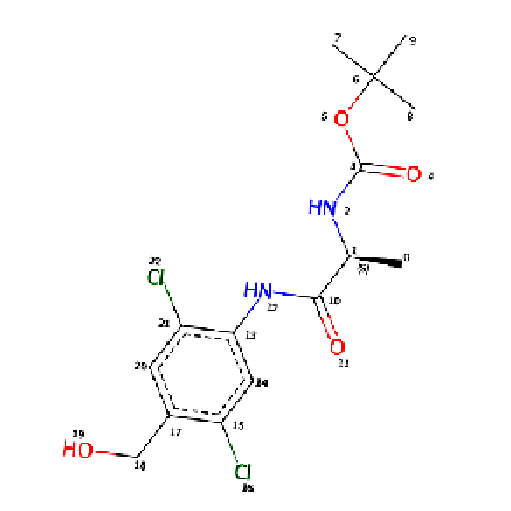 C[C@H](NC(=O)OC(C)(C)C)C(=O)Nc1cc(Cl)c(CO)cc1Cl